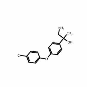 CC(O)(CN)c1ccc(Oc2ccc(Cl)cc2)cc1